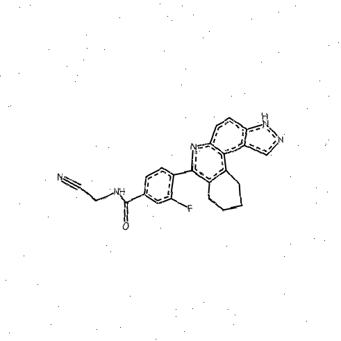 N#CCNC(=O)c1ccc(-c2nc3ccc4[nH]ncc4c3c3c2CCCC3)c(F)c1